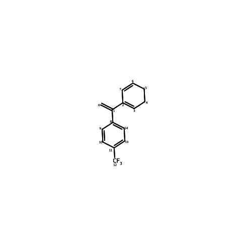 C=C(C1=CC[CH]C=C1)c1ccc(C(F)(F)F)cc1